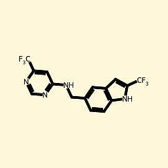 FC(F)(F)c1cc(NCc2ccc3[nH]c(C(F)(F)F)cc3c2)ncn1